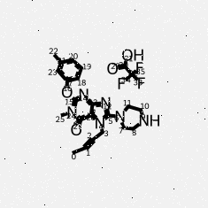 CC#CCn1c(N2CCNCC2)nc2nc(Oc3cccc(C)c3)n(C)c(=O)c21.O=C(O)C(F)(F)F